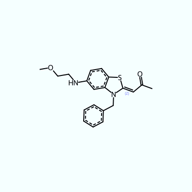 COCCNc1ccc2c(c1)N(Cc1ccccc1)/C(=C/C(C)=O)S2